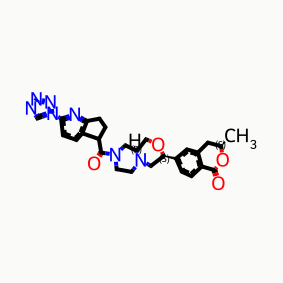 C[C@H]1Cc2cc([C@H]3CN4CCN(C(=O)C5CCc6nc(-n7cnnn7)ccc65)C[C@@H]4CO3)ccc2C(=O)O1